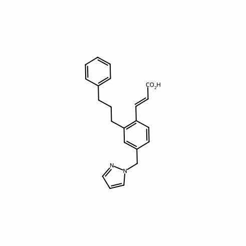 O=C(O)/C=C/c1ccc(Cn2cccn2)cc1CCCc1ccccc1